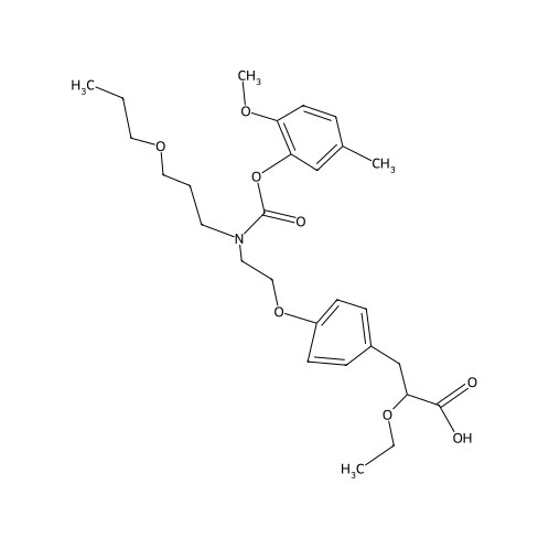 CCCOCCCN(CCOc1ccc(CC(OCC)C(=O)O)cc1)C(=O)Oc1cc(C)ccc1OC